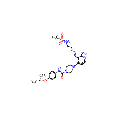 CC(C)Oc1ccc(NC(=O)N2CCN(c3ccnc(N)c3/C=N/OCCNS(C)(=O)=O)CC2)cc1